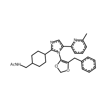 CC(=O)NCC1CCC(c2ncc(-c3cccc(C)n3)n2C2=C(Cc3ccccc3)OCO2)CC1